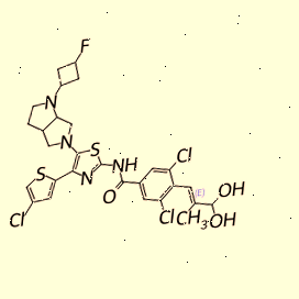 C/C(=C\c1c(Cl)cc(C(=O)Nc2nc(-c3cc(Cl)cs3)c(N3CC4CCN(C5CC(F)C5)C4C3)s2)cc1Cl)C(O)O